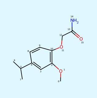 COc1cc(C(C)C)ccc1OCC(N)=O